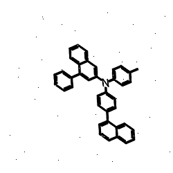 Cc1ccc(N(c2ccc(-c3cccc4ccccc34)cc2)c2cc(-c3ccccc3)c3ccccc3c2)cc1